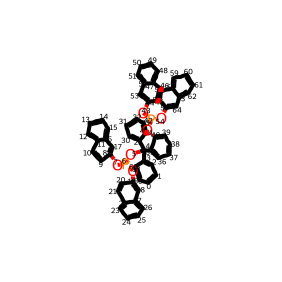 c1ccc(C(OP(Oc2ccc3ccccc3c2)Oc2ccc3ccccc3c2)(c2ccccc2)c2ccccc2OP(Oc2ccc3ccccc3c2)Oc2ccc3ccccc3c2)cc1